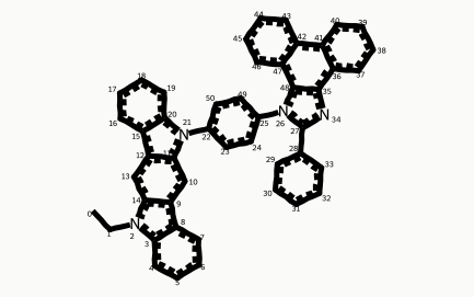 CCn1c2ccccc2c2cc3c(cc21)c1ccccc1n3-c1ccc(-n2c(-c3ccccc3)nc3c4ccccc4c4ccccc4c32)cc1